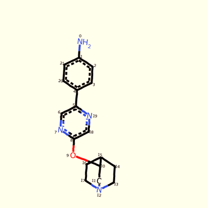 Nc1ccc(-c2cnc(OC3CN4CCC3CC4)cn2)cc1